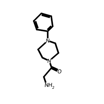 NCC(=O)N1CCN(c2ccccc2)CC1